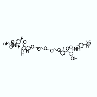 CCCS(=O)(=O)Nc1ccc(F)c(C(=O)c2c[nH]c3ncc(OCCOCCOCCOCCOc4cccc(C(=O)C5C[C@H](O)C[C@H]5C(=O)NCc5ccc(-c6ncsc6C)cc5)c4C)cc23)c1F